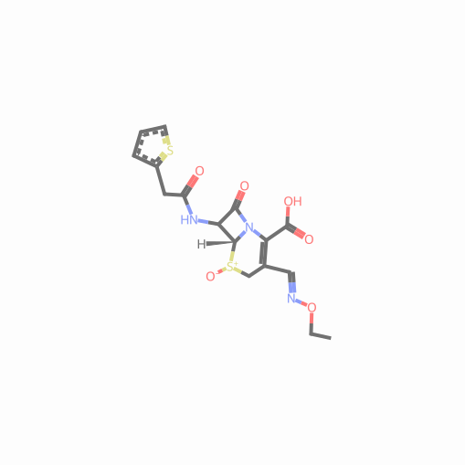 CCO/N=C/C1=C(C(=O)O)N2C(=O)C(NC(=O)Cc3cccs3)[C@H]2[S+]([O-])C1